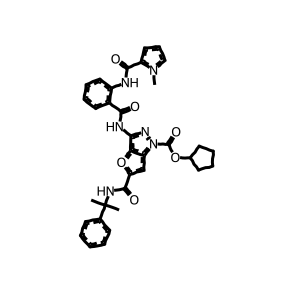 Cn1cccc1C(=O)Nc1ccccc1C(=O)Nc1nn(C(=O)OC2CCCC2)c2cc(C(=O)NC(C)(C)c3ccccc3)oc12